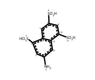 Nc1cc(S(=O)(=O)O)c2cc(S(=O)(=O)O)cc(S(=O)(=O)O)c2c1